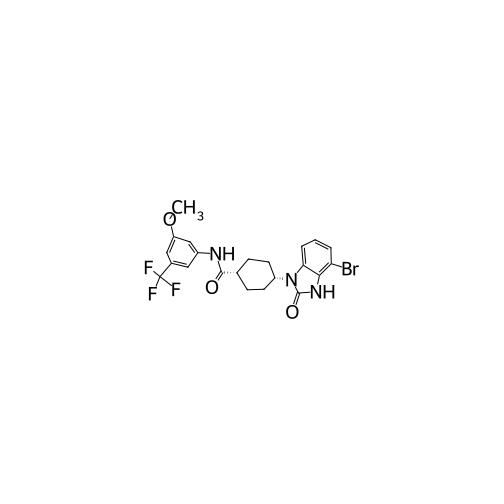 COc1cc(NC(=O)[C@H]2CC[C@@H](n3c(=O)[nH]c4c(Br)cccc43)CC2)cc(C(F)(F)F)c1